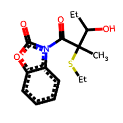 CCSC(C)(C(=O)n1c(=O)oc2ccccc21)C(O)CC